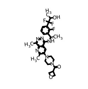 Cc1nc2c(C)nnc(N[C@H](C)c3cccc(C(F)(F)C(C)O)c3F)c2cc1N1CCN(C(=O)C2COC2)CC1